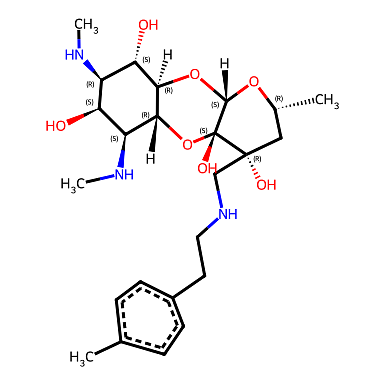 CN[C@@H]1[C@H](O)[C@H](NC)[C@H]2O[C@]3(O)[C@H](O[C@@H]2[C@H]1O)O[C@H](C)C[C@@]3(O)CNCCc1ccc(C)cc1